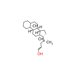 C[C@H](CC=CO)[C@H]1CC[C@H]2[C@@H]3CCC4CCCC[C@]4(C)[C@H]3CC[C@]12C